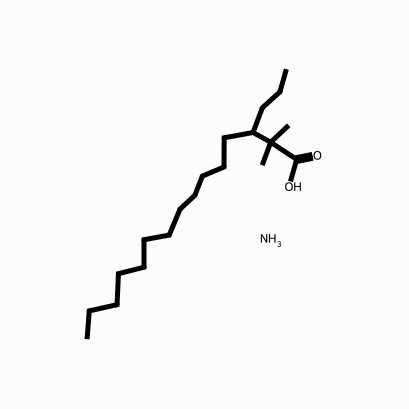 CCCCCCCCCCCCC(CCC)C(C)(C)C(=O)O.N